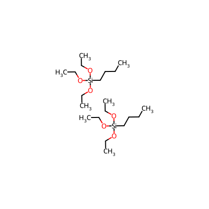 CCCC[Si](OCC)(OCC)OCC.CCCC[Si](OCC)(OCC)OCC